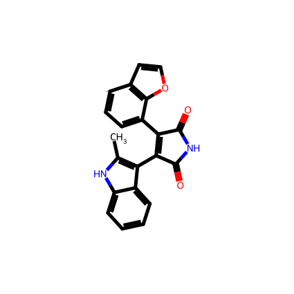 Cc1[nH]c2ccccc2c1C1=C(c2cc[c]c3ccoc23)C(=O)NC1=O